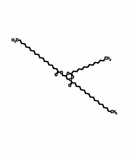 CCCCCCCCCCCCCCCCCCC(=O)OCC(COC(=O)CCCCCCCCCCCCCCCCC)OC(=O)CCCCCCCCCCCCC